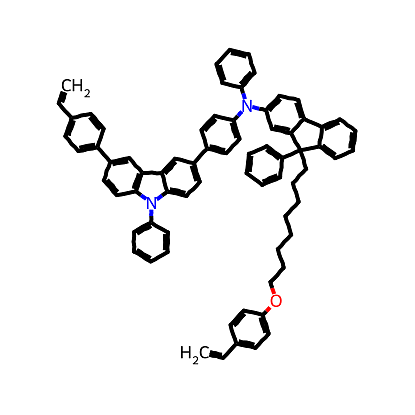 C=Cc1ccc(OCCCCCCCCC2(c3ccccc3)c3ccccc3-c3ccc(N(c4ccccc4)c4ccc(-c5ccc6c(c5)c5cc(-c7ccc(C=C)cc7)ccc5n6-c5ccccc5)cc4)cc32)cc1